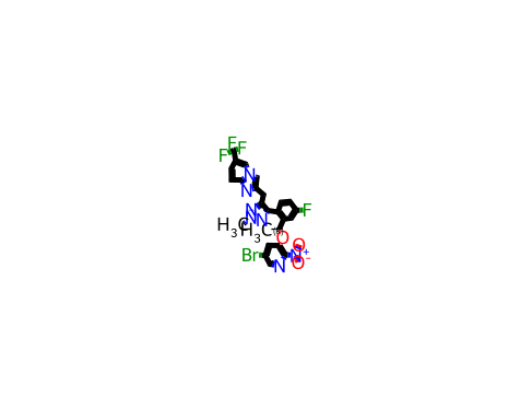 C[C@@H](Oc1cc(Br)cnc1[N+](=O)[O-])c1cc(F)ccc1-c1nn(C)nc1Cc1cn2cc(C(F)(F)F)ccc2n1